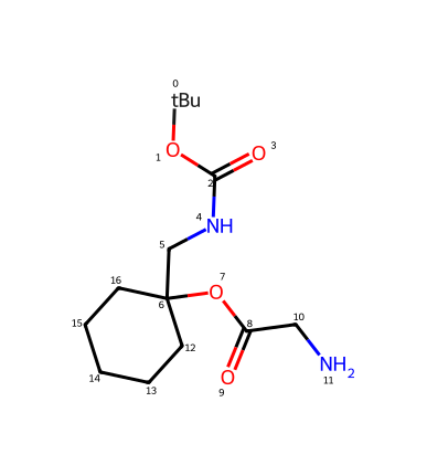 CC(C)(C)OC(=O)NCC1(OC(=O)CN)CCCCC1